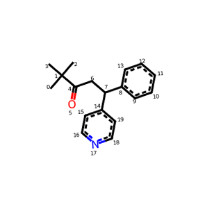 CC(C)(C)C(=O)CC(c1ccccc1)c1ccncc1